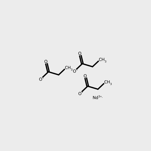 CCC(=O)[O-].CCC(=O)[O-].CCC(=O)[O-].[Nd+3]